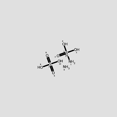 N.N[SH](=O)(O)O.O=S(=O)(O)O